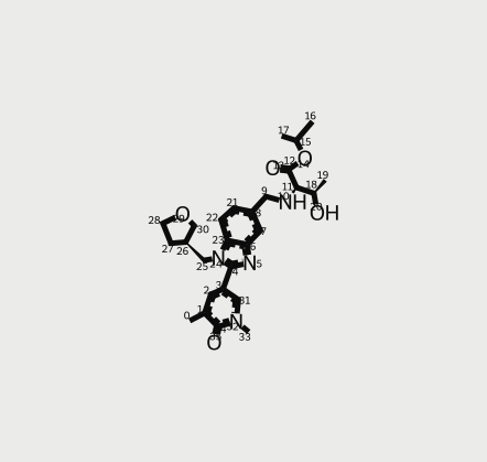 Cc1cc(-c2nc3cc(CN[C@H](C(=O)OC(C)C)[C@@H](C)O)ccc3n2C[C@H]2CCOC2)cn(C)c1=O